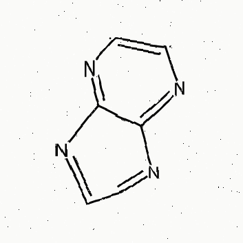 [c]1[c]nc2nccnc2n1